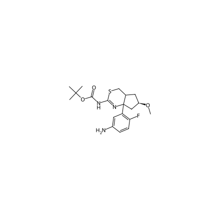 CO[C@@H]1CC2CSC(NC(=O)OC(C)(C)C)=NC2(c2cc(N)ccc2F)C1